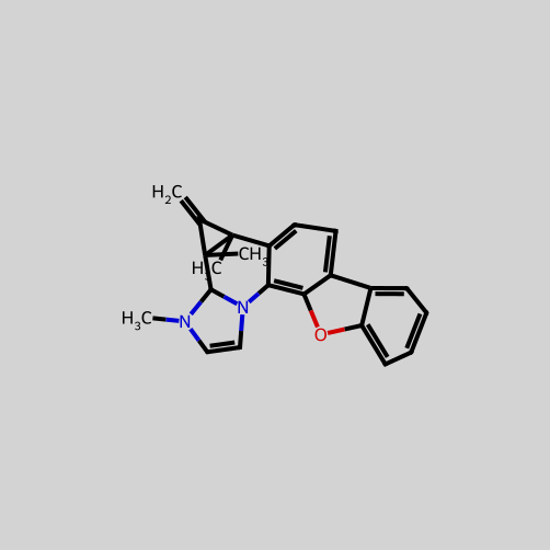 C=C1C2(C)c3ccc4c(oc5ccccc54)c3N3C=CN(C)C3C12C